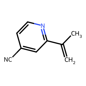 C=C(C)c1cc(C#N)ccn1